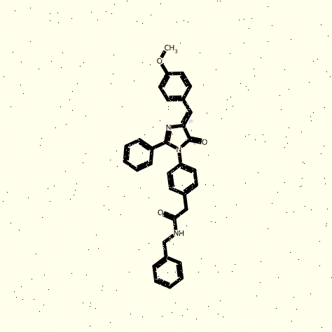 COc1ccc(/C=C2\N=C(c3ccccc3)N(c3ccc(CC(=O)NCc4ccccc4)cc3)C2=O)cc1